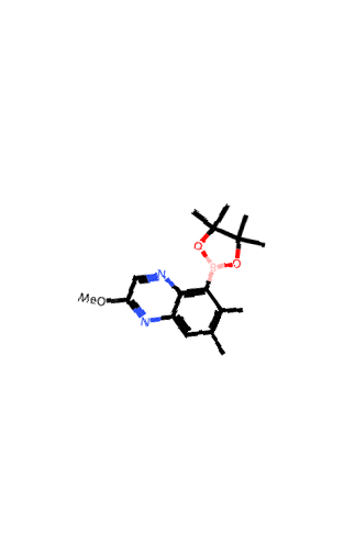 COc1cnc2c(B3OC(C)(C)C(C)(C)O3)c(C)c(C)cc2n1